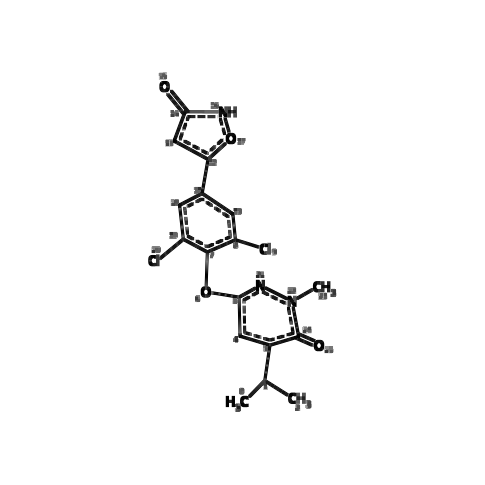 CC(C)c1cc(Oc2c(Cl)cc(-c3cc(=O)[nH]o3)cc2Cl)nn(C)c1=O